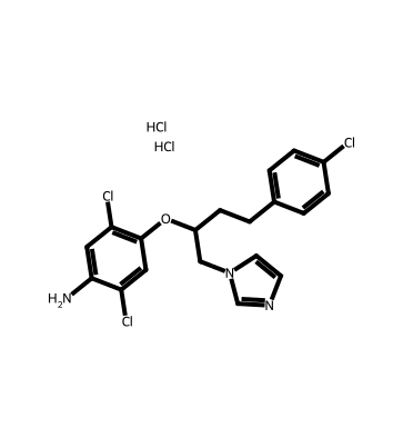 Cl.Cl.Nc1cc(Cl)c(OC(CCc2ccc(Cl)cc2)Cn2ccnc2)cc1Cl